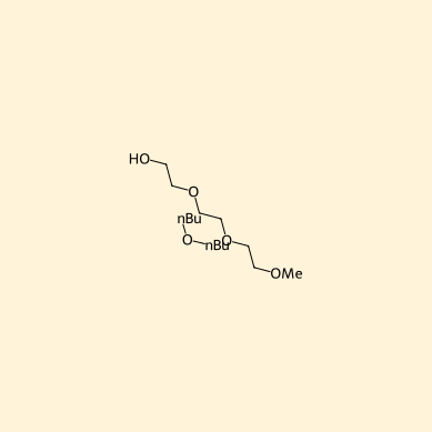 CCCCOCCCC.COCCOCCOCCO